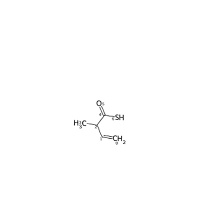 C=CC(C)C(=O)S